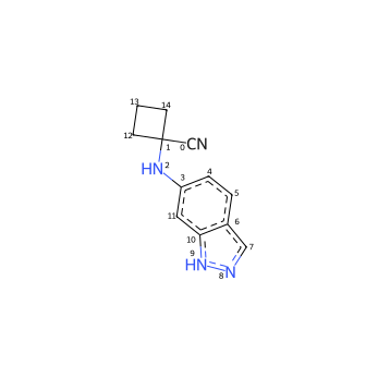 N#CC1(Nc2ccc3cn[nH]c3c2)CCC1